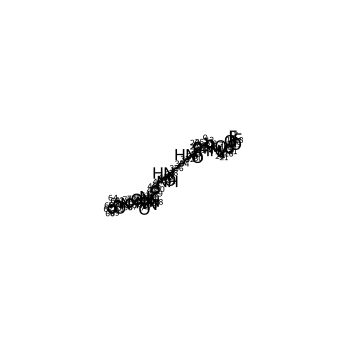 Cc1ccc(NC(=O)C2(c3ccc4c(c3)OC(F)(F)O4)CC2)nc1-c1cccc(C(=O)NCCCCCCCNC(=O)CNCc2ccc(-c3c4ncn(CC5(O)CCN(C(=O)C[C@@H](C)c6ccccc6)CC5)c(=O)c4nn3C)cc2)c1